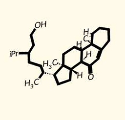 CC(C)C(CCO)CCC(C)[C@H]1CC[C@H]2[C@@H]3C(=O)C=C4CCCC[C@]4(C)[C@H]3CC[C@]12C